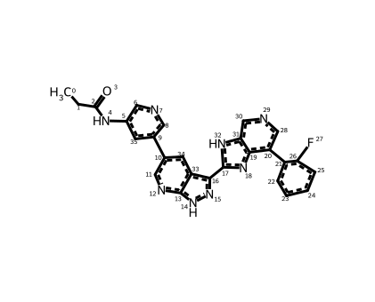 CCC(=O)Nc1cncc(-c2cnc3[nH]nc(-c4nc5c(-c6ccccc6F)cncc5[nH]4)c3c2)c1